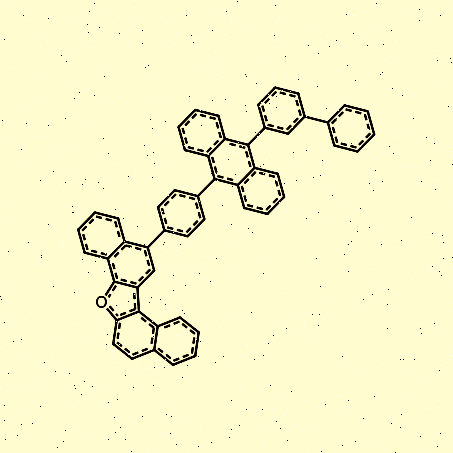 c1ccc(-c2cccc(-c3c4ccccc4c(-c4ccc(-c5cc6c(oc7ccc8ccccc8c76)c6ccccc56)cc4)c4ccccc34)c2)cc1